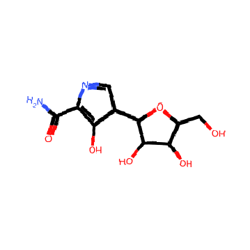 NC(=O)C1=C(O)C(C2OC(CO)C(O)C2O)C=N1